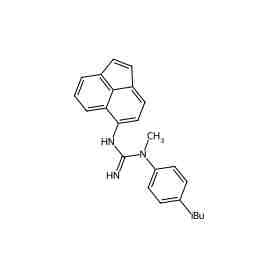 CCC(C)c1ccc(N(C)C(=N)Nc2ccc3c4c(cccc24)C=C3)cc1